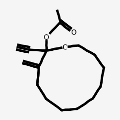 C#CC1(OC(C)=O)CCCCCCCCCCC1=C